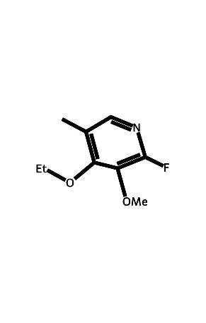 CCOc1c(C)cnc(F)c1OC